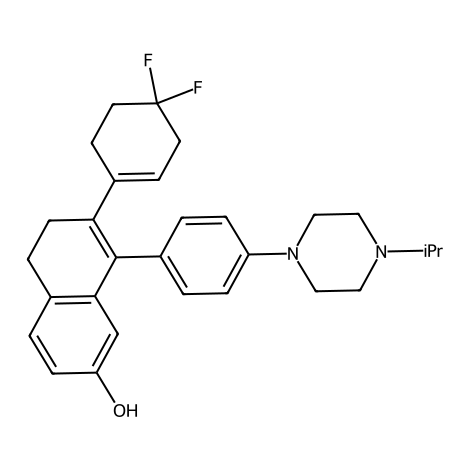 CC(C)N1CCN(c2ccc(C3=C(C4=CCC(F)(F)CC4)CCc4ccc(O)cc43)cc2)CC1